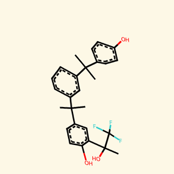 CC(C)(c1ccc(O)cc1)c1cccc(C(C)(C)c2ccc(O)c(C(C)(O)C(F)(F)F)c2)c1